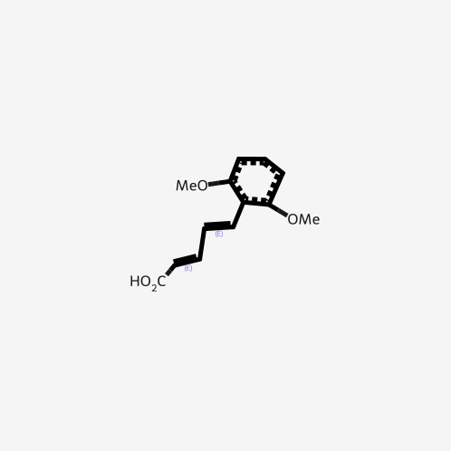 COc1cccc(OC)c1/C=C/C=C/C(=O)O